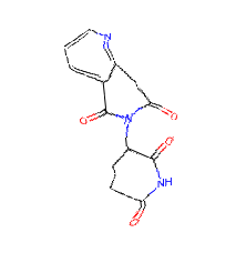 O=C1CCC(N2C(=O)Cc3ncccc3C2=O)C(=O)N1